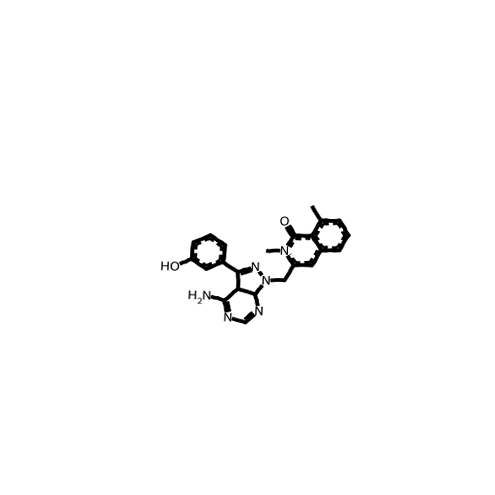 Cc1cccc2cc(CN3N=C(c4cccc(O)c4)C4C(N)=NC=NC43)n(C)c(=O)c12